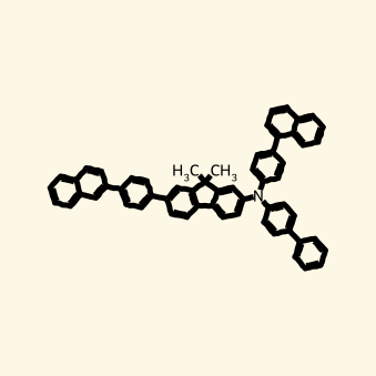 CC1(C)c2cc(-c3ccc(-c4ccc5ccccc5c4)cc3)ccc2-c2ccc(N(c3ccc(-c4ccccc4)cc3)c3ccc(-c4cccc5ccccc45)cc3)cc21